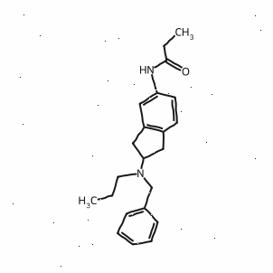 CCCN(Cc1ccccc1)C1Cc2ccc(NC(=O)CC)cc2C1